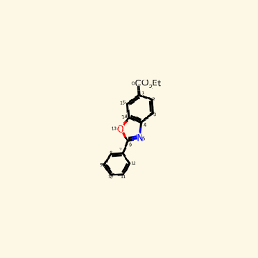 CCOC(=O)c1ccc2nc(-c3ccccc3)oc2c1